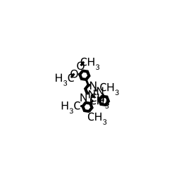 COc1ccc(-c2c/c(=N/c3c(C)cc(C)cc3C)n(C)c(N(C)c3ccccc3)n2)cc1OC